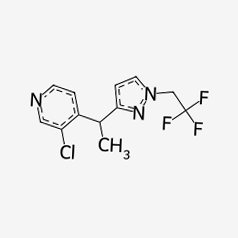 CC(c1ccn(CC(F)(F)F)n1)c1ccncc1Cl